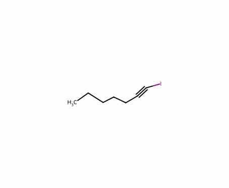 CCCCCC#CI